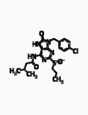 CCC[S+]([O-])c1nc(NC(=O)CC(C)C)c2[nH]c(=O)n(Cc3ccc(Cl)cc3)c2n1